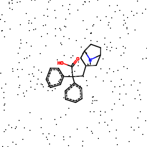 CN1C2CCC1CC(CC(C(=O)O)(c1ccccc1)c1ccccc1)C2